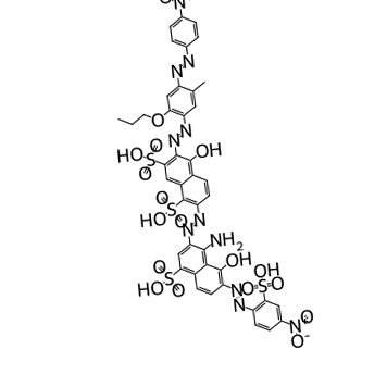 CCCOc1cc(N=Nc2ccc([N+](=O)[O-])cc2)c(C)cc1N=Nc1c(S(=O)(=O)O)cc2c(S(=O)(=O)O)c(N=Nc3cc(S(=O)(=O)O)c4ccc(N=Nc5ccc([N+](=O)[O-])cc5S(=O)(=O)O)c(O)c4c3N)ccc2c1O